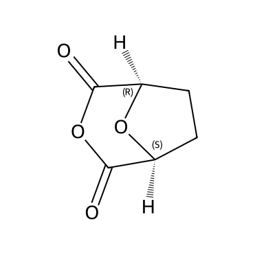 O=C1OC(=O)[C@H]2CC[C@@H]1O2